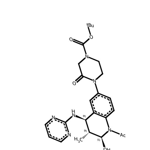 CC(=O)N1c2ccc(N3CCN(C(=O)OC(C)(C)C)CC3=O)cc2[C@H](Nc2ncccn2)[C@@H](C)[C@@H]1O